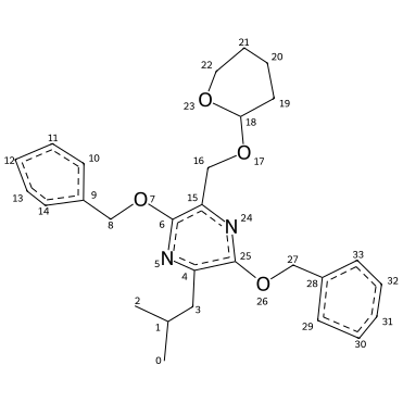 CC(C)Cc1nc(OCc2ccccc2)c(COC2CCCCO2)nc1OCc1ccccc1